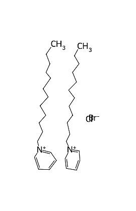 CCCCCCCCCCCC[n+]1ccccc1.CCCCCCCCCCCC[n+]1ccccc1.[Br-].[Cl-]